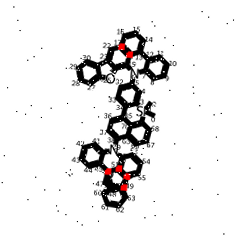 C[Si]1(C)c2cc(N(c3ccccc3-c3ccccc3)c3cccc4c3oc3ccccc34)ccc2-c2ccc(N(c3ccccc3-c3ccccc3)c3cccc4c3oc3ccccc34)c3cccc1c23